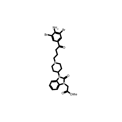 COC(=O)Cn1c(=O)n(C2CCN(CCCC(=O)c3cc(Br)c(N)c(Br)c3)CC2)c2ccccc21